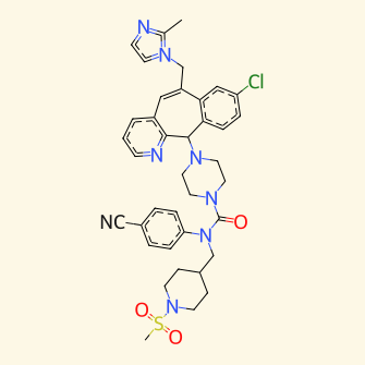 Cc1nccn1CC1=Cc2cccnc2C(N2CCN(C(=O)N(CC3CCN(S(C)(=O)=O)CC3)c3ccc(C#N)cc3)CC2)c2ccc(Cl)cc21